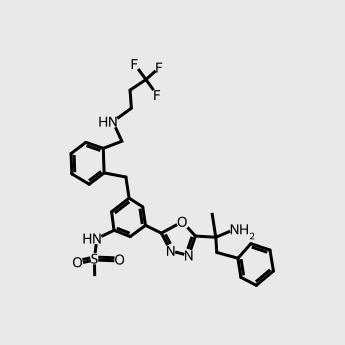 CC(N)(Cc1ccccc1)c1nnc(-c2cc(Cc3ccccc3CNCCC(F)(F)F)cc(NS(C)(=O)=O)c2)o1